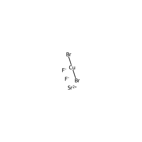 [Br][Cu][Br].[F-].[F-].[Sr+2]